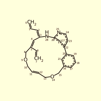 C=C/C=C1\C=C(/C=C)COC/C=C/COCc2cccc(c2)-c2ccnc(n2)N1